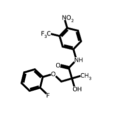 CC(O)(COc1ccccc1F)C(=O)Nc1ccc([N+](=O)[O-])c(C(F)(F)F)c1